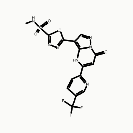 CNS(=O)(=O)c1nnc(-c2cnn3c(=O)cc(-c4ccc(C(F)(F)F)cn4)[nH]c23)o1